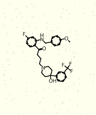 COc1ccc(CNc2cc(F)ccc2C(=O)CCCN2CCC(O)(c3cccc(C(F)(F)F)c3)CC2)cc1